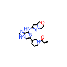 C=CC(=O)N1CCC[C@@H](c2cn3ncnc3c(Nc3cc4n(n3)CCOC4)n2)C1